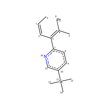 C/C=C\C(=C(\C)C(C)C)c1ccc([Si](C)(C)C)cn1